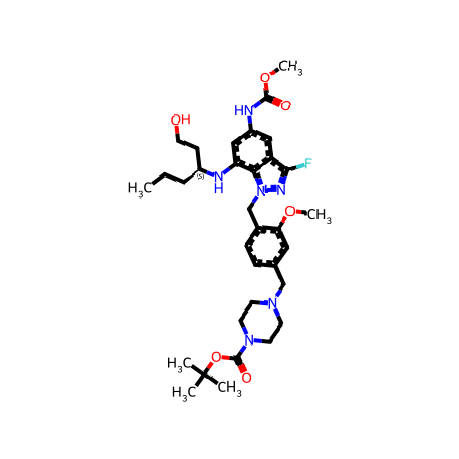 CCC[C@@H](CCO)Nc1cc(NC(=O)OC)cc2c(F)nn(Cc3ccc(CN4CCN(C(=O)OC(C)(C)C)CC4)cc3OC)c12